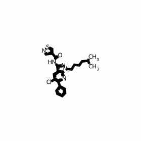 CC(C)CCCCn1nc(NC(=O)c2cnsc2)c2cc(Cl)c(-c3cc[c]cc3)nc21